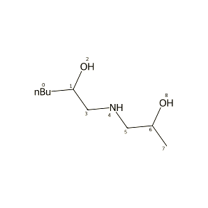 CCCCC(O)CNCC(C)O